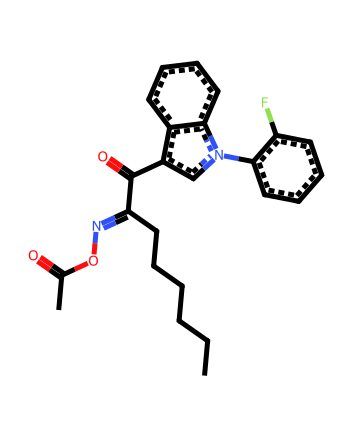 CCCCCC/C(=N\OC(C)=O)C(=O)c1cn(-c2ccccc2F)c2ccccc12